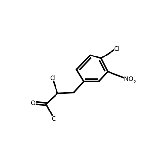 O=C(Cl)C(Cl)Cc1ccc(Cl)c([N+](=O)[O-])c1